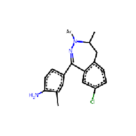 CC(=O)N1N=C(c2ccc(N)c(C)c2)c2cc(Cl)ccc2CC1C